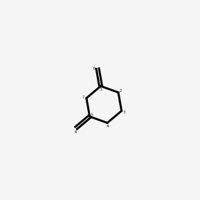 C=C1CCCC(=C)C1